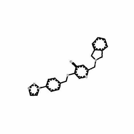 O=c1cc(CN2Cc3ccccc3C2)occ1OCc1ccc(-n2ccnn2)cc1